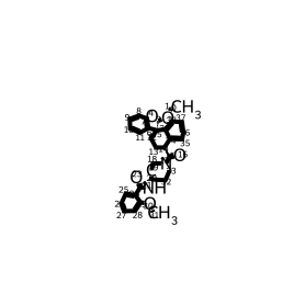 CCOC(=O)[C@@]1(c2ccccc2)CC[C@H](C(=O)N2CCC(NC(=O)c3ccccc3OC)CC2)c2ccccc21